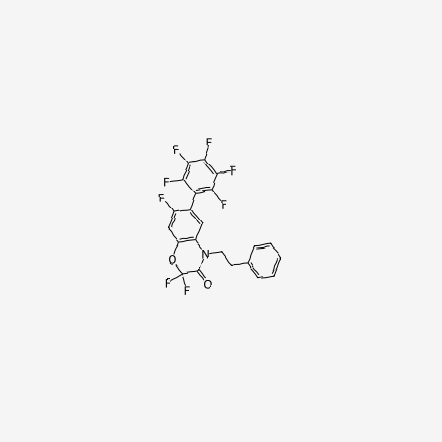 O=C1N(CCc2ccccc2)c2cc(-c3c(F)c(F)c(F)c(F)c3F)c(F)cc2OC1(F)F